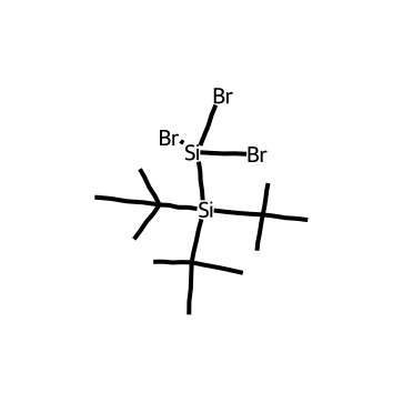 CC(C)(C)[Si](C(C)(C)C)(C(C)(C)C)[Si](Br)(Br)Br